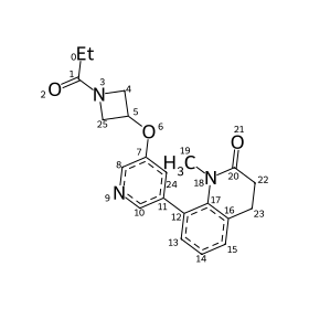 CCC(=O)N1CC(Oc2cncc(-c3cccc4c3N(C)C(=O)CC4)c2)C1